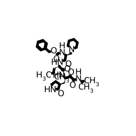 CC(C)C[C@H](NC(=O)[C@H](CN1CCCCC1)NC(=O)OCc1ccccc1)C(=O)N[C@@H](C[C@@H]1CCNC1=O)C(=O)C(=O)NC(C)C